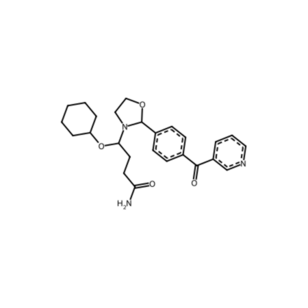 NC(=O)CCC(OC1CCCCC1)N1CCOC1c1ccc(C(=O)c2cccnc2)cc1